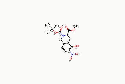 COC(=O)C1Cc2c(ccc([N+](=O)[O-])c2O)CN1C(=O)OC(C)(C)C